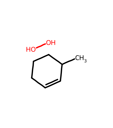 CC1C=CCCC1.OO